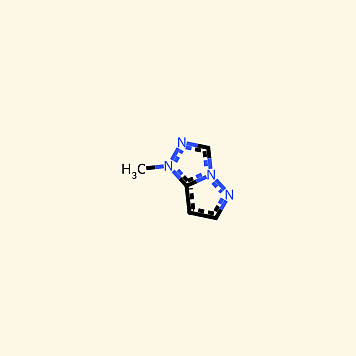 Cn1ncn2nccc12